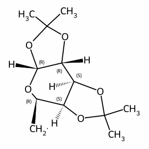 [CH2][C@H]1O[C@@H]2OC(C)(C)O[C@@H]2[C@H]2OC(C)(C)O[C@H]21